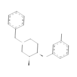 C[C@H]1CN(Cc2ccccc2)CC[C@H]1Oc1cccc(Br)c1